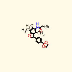 Cc1c(C)c2c(c(C)c1NC(=O)CC(C)(C)C)C(c1ccc(C3OCCO3)cc1)CO2